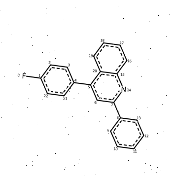 Fc1ccc(-c2cc(-c3ccccc3)nc3ccccc23)cc1